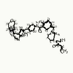 C=CC(=O)N[C@@H]1CCCN(Cc2ccc(F)c(C(=O)Nc3ccc(-c4cc5c(N6C7CCC6COC7)ncnc5[nH]4)cc3)c2)C1